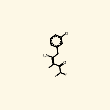 CC(C(=O)C(F)F)=C(N)Cc1cccc(Cl)c1